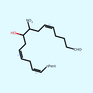 CCCCC/C=C\C/C=C\CC(O)C(C/C=C\CCC[C]=O)[N+](=O)[O-]